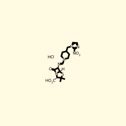 CC1(C)S[C@@H]2[C@H](N=CN3CCC(Cn4ccnc4[N+](=O)[O-])CC3)C(=O)N2[C@H]1C(=O)O.Cl